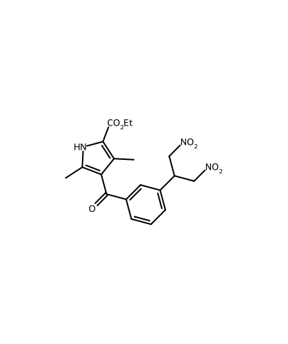 CCOC(=O)c1[nH]c(C)c(C(=O)c2cccc(C(C[N+](=O)[O-])C[N+](=O)[O-])c2)c1C